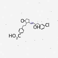 O=C(O)c1ccc(CCC2C(=O)CCC2/C=C/C(O)Cc2cccc(Cl)c2)cc1